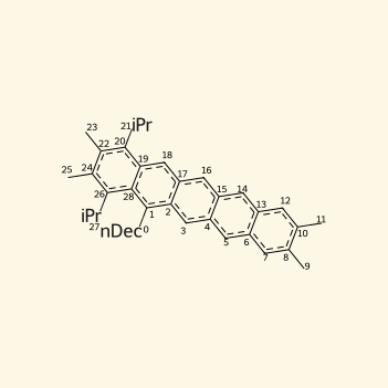 CCCCCCCCCCc1c2cc3cc4cc(C)c(C)cc4cc3cc2cc2c(C(C)C)c(C)c(C)c(C(C)C)c12